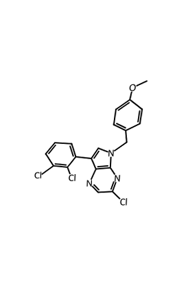 COc1ccc(Cn2cc(-c3cccc(Cl)c3Cl)c3ncc(Cl)nc32)cc1